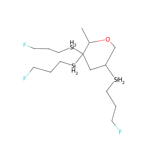 CC1OCC([SiH2]CCCF)CC1([SiH2]CCCF)[SiH2]CCCF